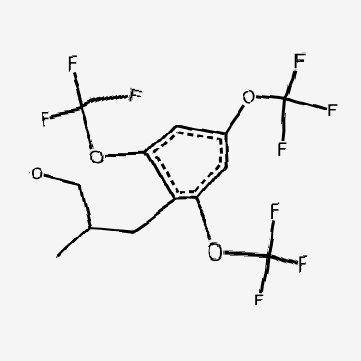 CC(C[O])Cc1c(OC(F)(F)F)cc(OC(F)(F)F)cc1OC(F)(F)F